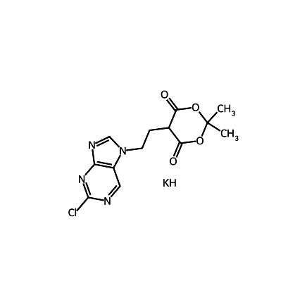 CC1(C)OC(=O)C(CCn2cnc3nc(Cl)ncc32)C(=O)O1.[KH]